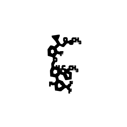 COC(=O)C[C@@H](c1cccc(OCc2ccc(-c3cc(C(F)F)ccc3F)c(C3=CCCC3(C)C)c2)c1F)C1CC1